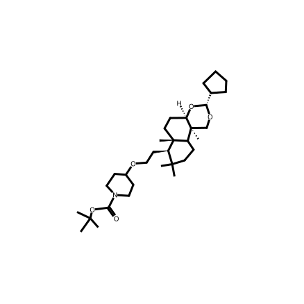 CC(C)(C)OC(=O)N1CCC(OCC[C@@H]2C(C)(C)CCC3[C@]4(C)CO[C@@H](C5CCCC5)O[C@@H]4CC[C@]32C)CC1